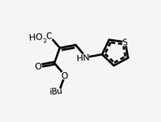 CCC(C)OC(=O)C(=CNc1ccsc1)C(=O)O